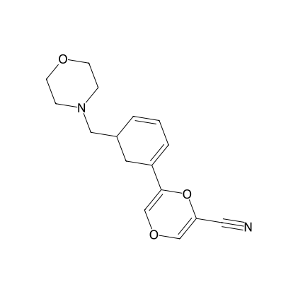 N#CC1=COC=C(C2=CC=CC(CN3CCOCC3)C2)O1